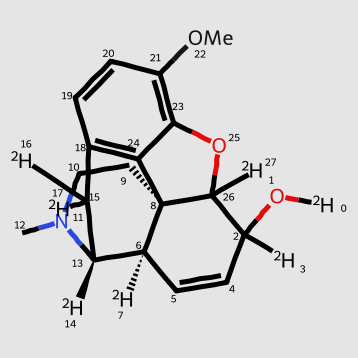 [2H]OC1([2H])C=C[C@]2([2H])[C@@]34CCN(C)[C@]2([2H])C([2H])([2H])c2ccc(OC)c(c23)OC14[2H]